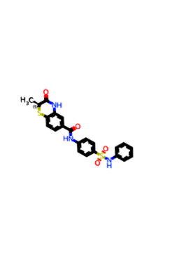 C[C@@H]1Sc2ccc(C(=O)Nc3ccc(S(=O)(=O)Nc4ccccc4)cc3)cc2NC1=O